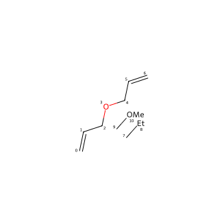 C=CCOCC=C.CCC.COC